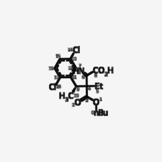 CCCCOC(=O)C(CC)(C(=N)C(=O)O)[C@@H](C)c1cc(Cl)ccc1Cl